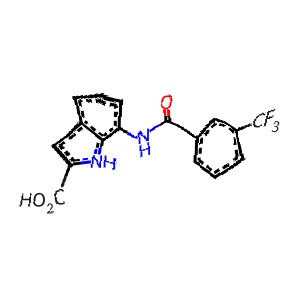 O=C(Nc1cccc2cc(C(=O)O)[nH]c12)c1cccc(C(F)(F)F)c1